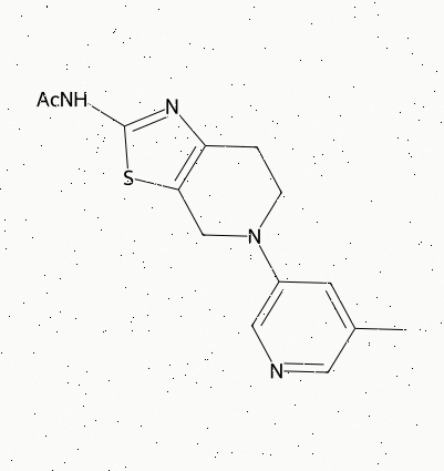 CC(=O)Nc1nc2c(s1)CN(c1cncc(C)c1)CC2